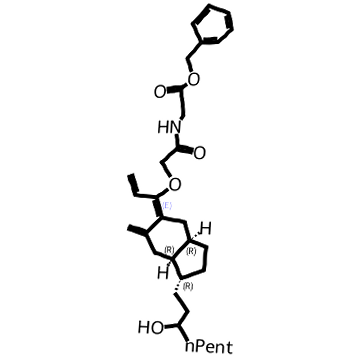 C=C/C(OCC(=O)NCC(=O)OCc1ccccc1)=C1/C[C@H]2CC[C@H](CCC(O)CCCCC)[C@H]2CC1=C